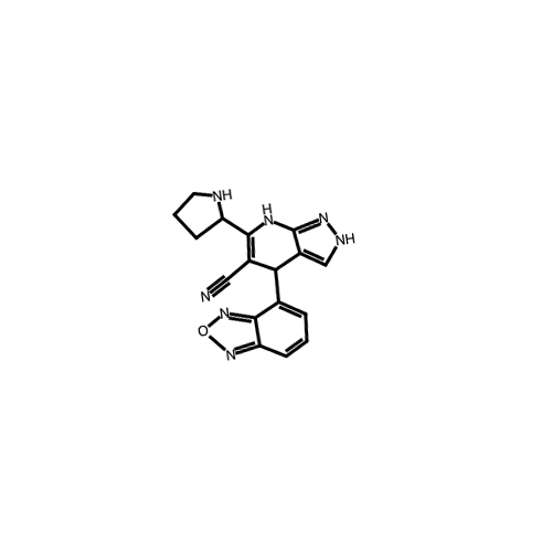 N#CC1=C(C2CCCN2)Nc2n[nH]cc2C1c1cccc2nonc12